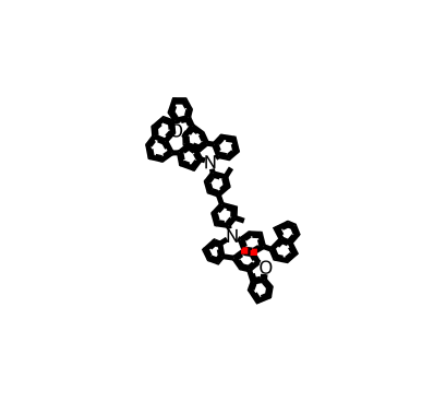 Cc1cc(-c2ccc(N(c3ccc(-c4cccc5ccccc45)cc3)c3ccccc3-c3ccc4oc5ccccc5c4c3)c(C)c2)ccc1N(c1ccc(-c2cccc3ccccc23)cc1)c1ccccc1-c1ccc2oc3ccccc3c2c1